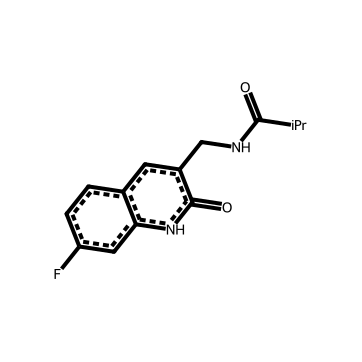 CC(C)C(=O)NCc1cc2ccc(F)cc2[nH]c1=O